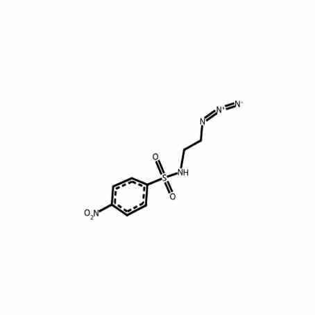 [N-]=[N+]=NCCNS(=O)(=O)c1ccc([N+](=O)[O-])cc1